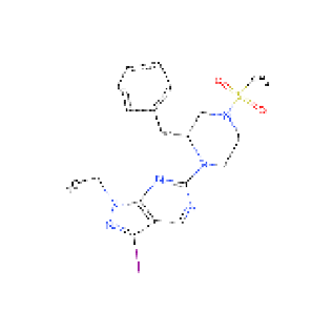 CCn1nc(I)c2cnc(N3CCN(S(C)(=O)=O)C[C@H]3Cc3ccccc3)nc21